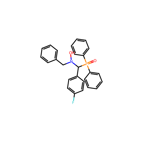 O=P(c1ccccc1)(c1ccccc1)C(c1ccc(F)cc1)N(O)Cc1ccccc1